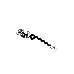 CCCCCCCCCCc1ccc(NC(=O)C2CCN(C(=O)O)C2)cc1